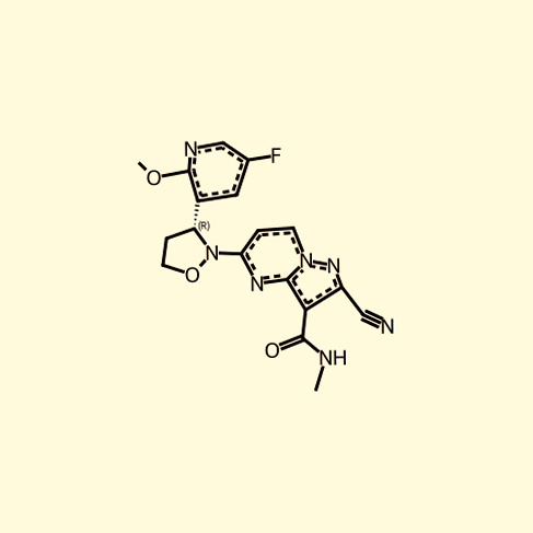 CNC(=O)c1c(C#N)nn2ccc(N3OCC[C@@H]3c3cc(F)cnc3OC)nc12